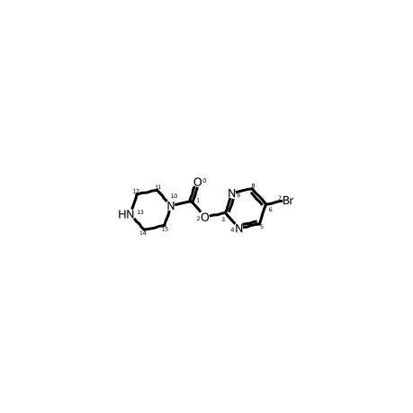 O=C(Oc1ncc(Br)cn1)N1CCNCC1